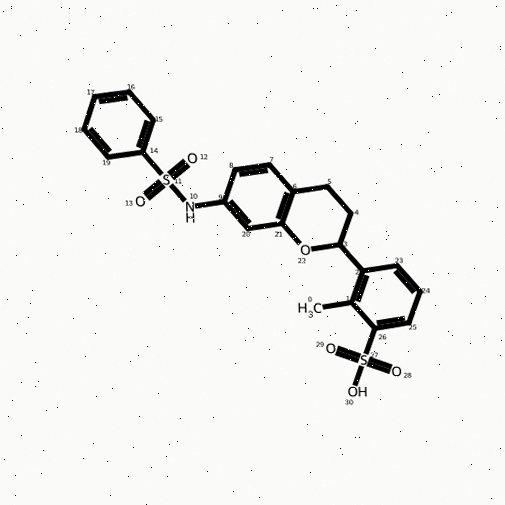 Cc1c(C2CCc3ccc(NS(=O)(=O)c4ccccc4)cc3O2)cccc1S(=O)(=O)O